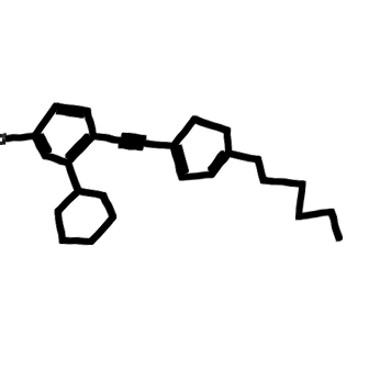 CCCCCCC1=CC=C(C#Cc2ccc(Cl)cc2C2CCCCC2)CC1